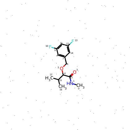 CNC(=O)C(OCc1cc(F)cc(F)c1)C(C)C